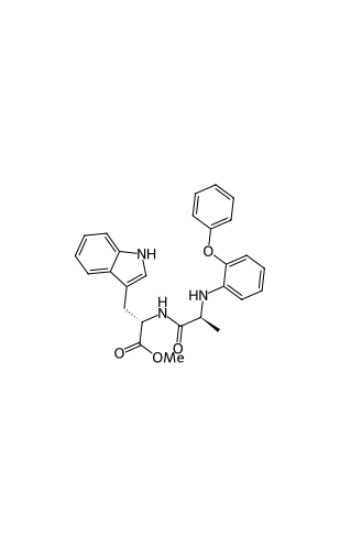 COC(=O)[C@H](Cc1c[nH]c2ccccc12)NC(=O)[C@H](C)Nc1ccccc1Oc1ccccc1